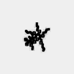 CCCCOC[C@H]1O[C@@H](C(F)(F)/C(C)=C(\C(=O)OCC)[N+](=O)[O-])[C@H](OCCCC)[C@@H](OCCCC)[C@H]1OCCCC